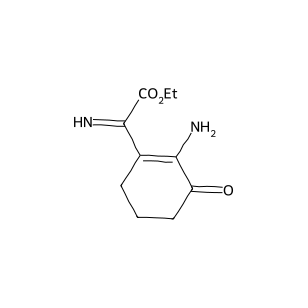 CCOC(=O)C(=N)C1=C(N)C(=O)CCC1